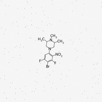 CC1CN(c2cc(F)c(Br)c(F)c2[N+](=O)[O-])CC(C)N1C